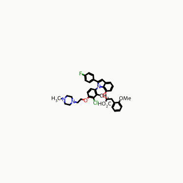 COc1ccccc1CC(Oc1cccc2cc(-c3ccc(F)cc3)n(-c3ccc(OCCN4CCN(C)CC4)c(Cl)c3C)c12)C(=O)O